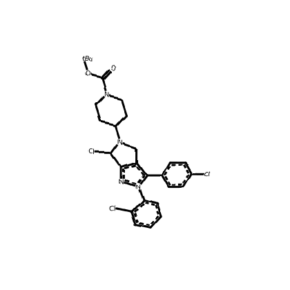 CC(C)(C)OC(=O)N1CCC(N2Cc3c(nn(-c4ccccc4Cl)c3-c3ccc(Cl)cc3)C2Cl)CC1